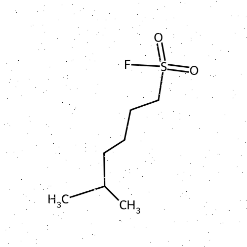 CC(C)CCCCS(=O)(=O)F